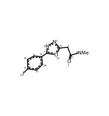 CNC(=O)Cc1nnc(-c2ccc(I)cc2)o1